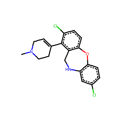 CN1CC=C(c2c(Cl)ccc3c2CNc2cc(Cl)ccc2O3)CC1